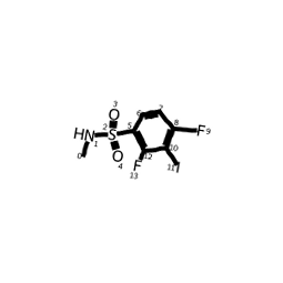 CNS(=O)(=O)c1ccc(F)c(I)c1F